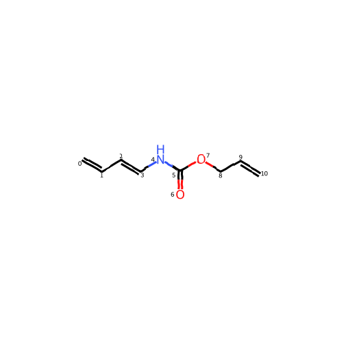 C=C/C=C/NC(=O)OCC=C